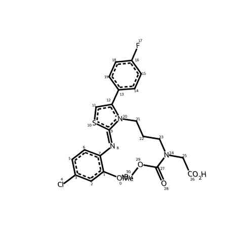 COc1cc(Cl)ccc1N=c1scc(-c2ccc(F)cc2)n1CCCN(CC(=O)O)C(=O)OC(C)(C)C